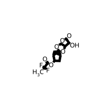 CC(F)(F)C(=O)OC1CC2CC1CC21OC2OC(=O)C(O)C2O1